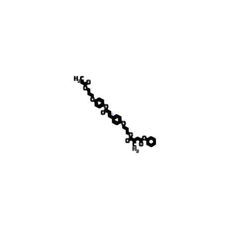 C=CC(=O)OCCCOc1ccc(OC(=O)/C=C/c2ccc(OCCCOC(=O)C(=C)CC(=O)OC3CCCCC3)cc2)cc1